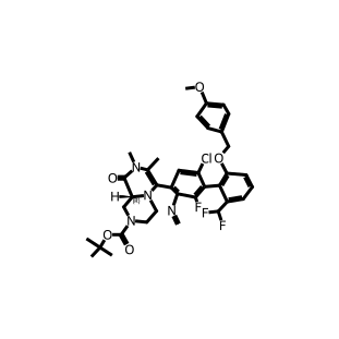 C=Nc1c(C2=C(C)N(C)C(=O)[C@H]3CN(C(=O)OC(C)(C)C)CCN23)cc(Cl)c(-c2c(OCc3ccc(OC)cc3)cccc2C(F)F)c1F